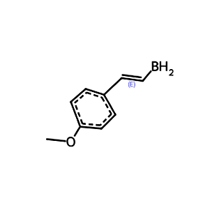 B/C=C/c1ccc(OC)cc1